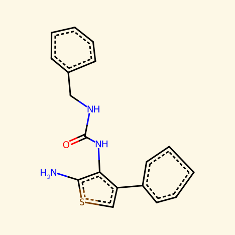 Nc1scc(-c2ccccc2)c1NC(=O)NCc1ccccc1